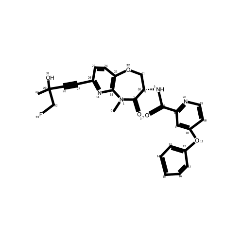 CN1C(=O)[C@@H](NC(=O)c2cc(Oc3ccccc3)ccn2)COc2ccc(C#CC(C)(O)CF)nc21